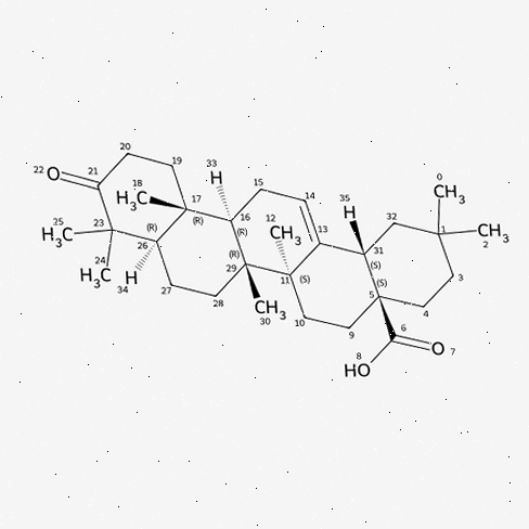 CC1(C)CC[C@]2(C(=O)O)CC[C@]3(C)C(=CC[C@@H]4[C@@]5(C)CCC(=O)C(C)(C)[C@@H]5CC[C@]43C)[C@@H]2C1